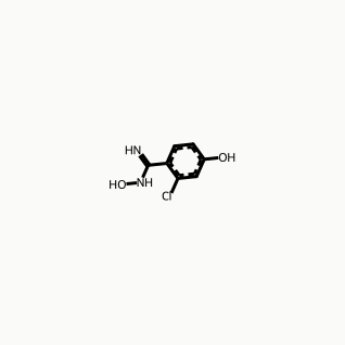 N=C(NO)c1ccc(O)cc1Cl